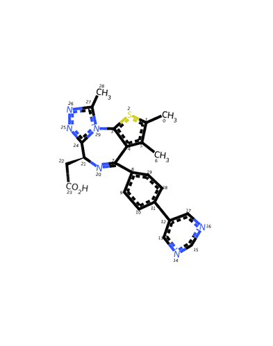 Cc1sc2c(c1C)C(c1ccc(-c3cncnc3)cc1)=N[C@@H](CC(=O)O)c1nnc(C)n1-2